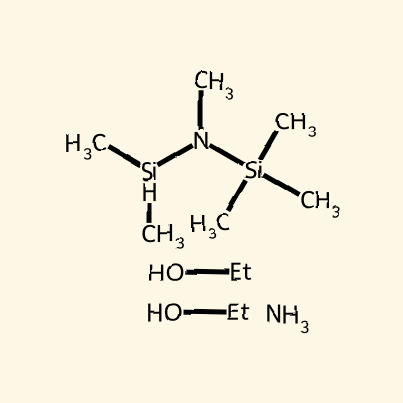 CCO.CCO.CN([SiH](C)C)[Si](C)(C)C.N